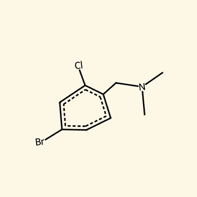 CN(C)Cc1ccc(Br)cc1Cl